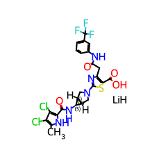 Cc1[nH]c(C(=O)N[C@H]2[C@@H]3CN(c4nc(CC(=O)Nc5cccc(C(F)(F)F)c5)c(C(=O)O)s4)C[C@@H]32)c(Cl)c1Cl.[LiH]